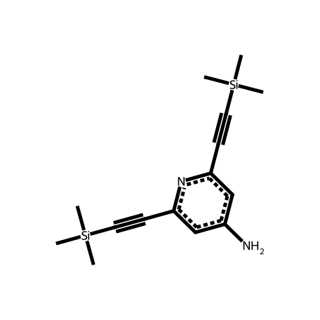 C[Si](C)(C)C#Cc1cc(N)cc(C#C[Si](C)(C)C)n1